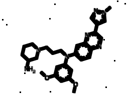 COc1cc(OC)cc(N(CCCN2CCCC(N)C2)c2ccc3ncc(-c4cnn(C)c4)nc3c2)c1